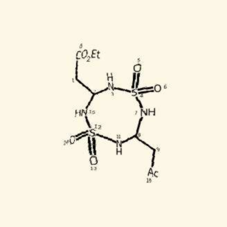 CCOC(=O)CC1NS(=O)(=O)NC(CC(C)=O)NS(=O)(=O)N1